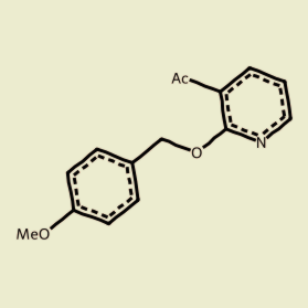 COc1ccc(COc2ncccc2C(C)=O)cc1